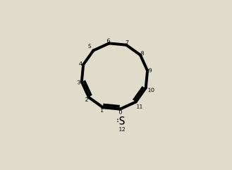 C1=CC=CCCCCCCC=C1.[S]